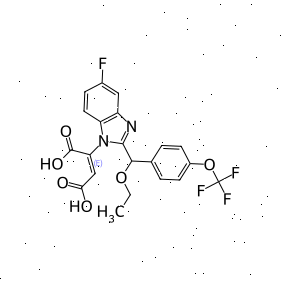 CCOC(c1ccc(OC(F)(F)F)cc1)c1nc2cc(F)ccc2n1/C(=C/C(=O)O)C(=O)O